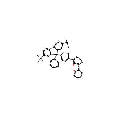 CC(C)(C)c1ccc2c(c1)C(C1=CC=C(c3cccc4c3oc3ccccc34)CC1)(c1ccccc1)c1cc(C(C)(C)C)ccc1-2